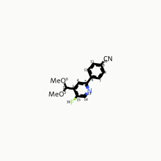 COC(OC)c1cc(-c2ccc(C#N)cc2)ncc1F